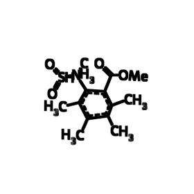 COC(=O)c1c(C)c(C)c(C)c(C)c1N(C)[SH](=O)=O